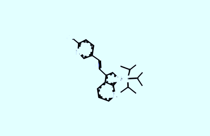 CC(C)[Si](C(C)C)(C(C)C)n1cc(/C=C/c2ccc(Cl)nc2)c2cccnc21